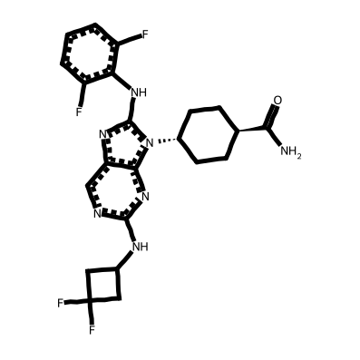 NC(=O)[C@H]1CC[C@H](n2c(Nc3c(F)cccc3F)nc3cnc(NC4CC(F)(F)C4)nc32)CC1